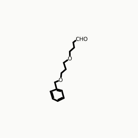 O=CCCCOCCCOCc1ccccc1